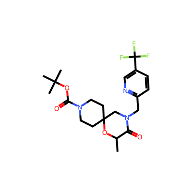 CC1OC2(CCN(C(=O)OC(C)(C)C)CC2)CN(Cc2ccc(C(F)(F)F)cn2)C1=O